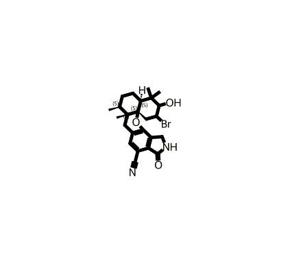 C[C@H]1CC[C@H]2C(C)(C)C(O)C(Br)C[C@]23Oc2c(cc(C#N)c4c2CNC4=O)C[C@]13C